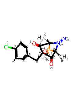 CC12C(=O)C(Cc3ccc(Cl)cc3)C(=O)C(C)([N+]1=[N-])P2(C)=O